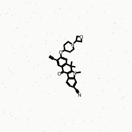 C#Cc1cc2c(cc1OC1CCN(C3COC3)CC1)C(C)(C)c1c(c3ccc(C#N)cc3n1C)C2=O